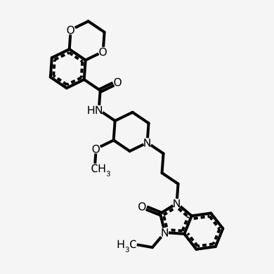 CCn1c(=O)n(CCCN2CCC(NC(=O)c3cccc4c3OCCO4)C(OC)C2)c2ccccc21